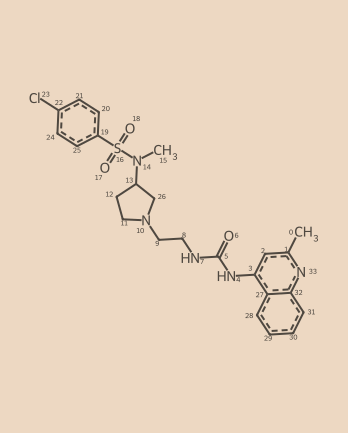 Cc1cc(NC(=O)NCCN2CCC(N(C)S(=O)(=O)c3ccc(Cl)cc3)C2)c2ccccc2n1